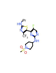 CC(C)Nc1nc(C(F)(F)F)c(-c2nc(NC3CCN(S(C)(=O)=O)CC3)ncc2F)s1